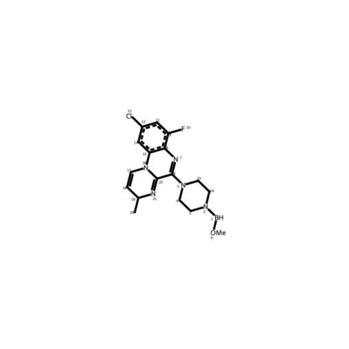 COBN1CCN(C2=Nc3c(F)cc(Cl)cc3N3C=CC(C)N=C23)CC1